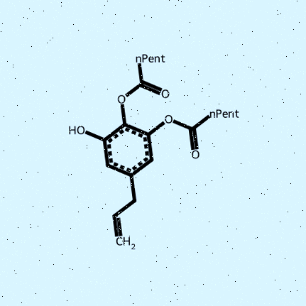 C=CCc1cc(O)c(OC(=O)CCCCC)c(OC(=O)CCCCC)c1